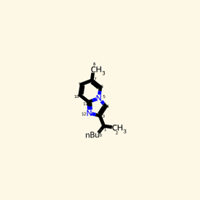 CCCCC(C)c1cn2cc(C)ccc2n1